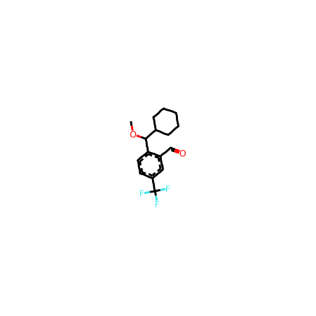 COC(c1ccc(C(F)(F)F)cc1C=O)C1CCCCC1